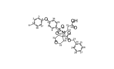 Cc1ccc(Oc2ccc(S(=O)(=O)N(CCC(=O)O)C3(C(=O)OCc4ccccc4)CCOCC3)cc2)cc1